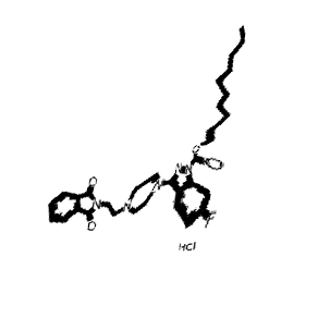 CCCCCCCCCCOC(=O)n1nc(N2CCN(CCN3C(=O)c4ccccc4C3=O)CC2)c2ccc(F)cc21.Cl